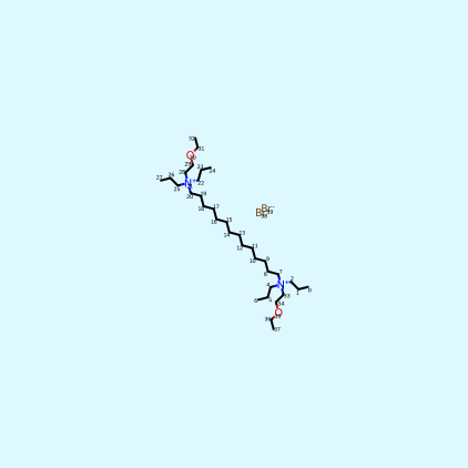 CCC[N+](CCC)(CCCCCCCCCCCCCC[N+](CCC)(CCC)CCOCC)CCOCC.[Br-].[Br-]